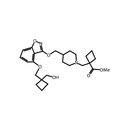 COC(=O)C1(CN2CCC(COc3noc4cccc(OCC5(CO)CCC5)c34)CC2)CCC1